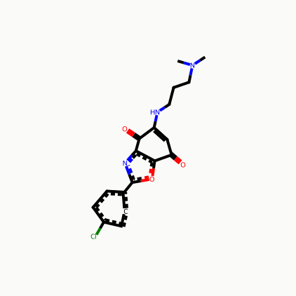 CN(C)CCCNC1=CC(=O)c2oc(-c3ccc(Cl)cc3)nc2C1=O